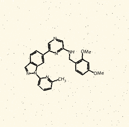 COc1ccc(CNc2cncc(-c3ccc4cnn(-c5cccc(C)n5)c4c3)n2)c(OC)c1